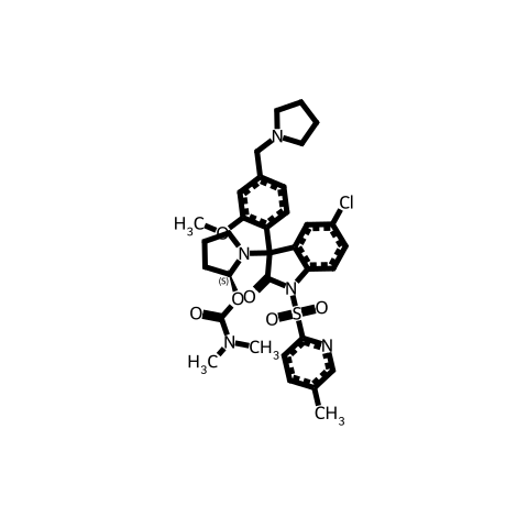 COc1cc(CN2CCCC2)ccc1C1(N2CCC[C@@H]2OC(=O)N(C)C)C(=O)N(S(=O)(=O)c2ccc(C)cn2)c2ccc(Cl)cc21